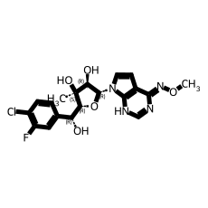 CON=c1nc[nH]c2c1ccn2[C@@H]1O[C@H]([C@H](O)c2ccc(Cl)c(F)c2)[C@@](C)(O)[C@H]1O